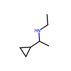 C[CH]NC(C)C1CC1